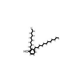 CCCCCCCCCCCCc1cccc(O)c1CCCCCCCCC